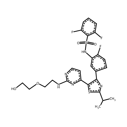 CC(C)c1nc(-c2ccc(F)c(NS(=O)(=O)c3c(F)cccc3F)c2)c(-c2ccnc(NCCOCCO)n2)s1